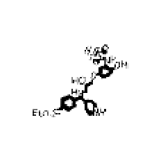 CCOC(=O)c1ccc(C(NC[C@H](O)COc2ccc(O)c(NS(C)(=O)=O)c2)C2CCNCC2)cc1